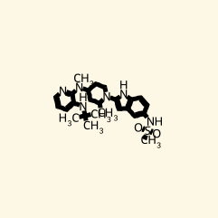 CC1CC(N(C)c2ncccc2NC(C)(C)C)CCN1c1cc2cc(NS(C)(=O)=O)ccc2[nH]1